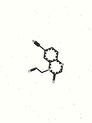 N#Cc1ccc2ncc(=O)n(CC=O)c2c1